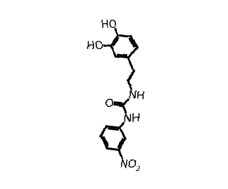 O=C(NCCc1ccc(O)c(O)c1)Nc1cccc([N+](=O)[O-])c1